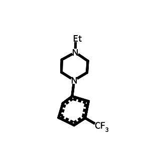 CCN1CCN(c2cccc(C(F)(F)F)c2)CC1